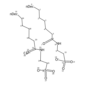 CCCCCCCCCCCCCCCC(=O)NCCS(=O)(=O)[O-].CCCCCCCCCCCCCCCC(=O)NCCS(=O)(=O)[O-].[Ca+2]